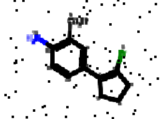 CCOC(=O)c1cc(C2=C(Br)CCC2)ccc1N